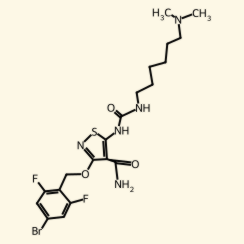 CN(C)CCCCCCNC(=O)Nc1snc(OCc2c(F)cc(Br)cc2F)c1C(N)=O